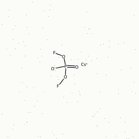 O=P([O-])(OF)OF.[Cs+]